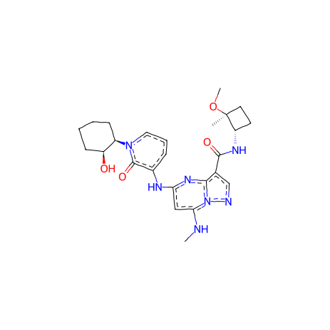 CNc1cc(Nc2cccn([C@@H]3CCCC[C@@H]3O)c2=O)nc2c(C(=O)N[C@H]3CC[C@]3(C)OC)cnn12